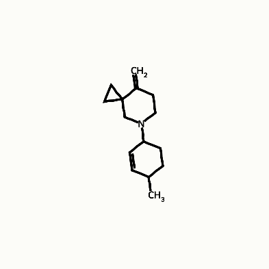 C=C1CCN(C2C=CC(C)CC2)CC12CC2